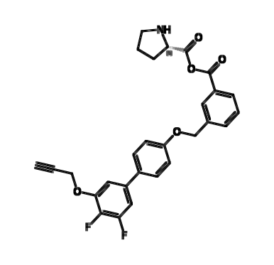 C#CCOc1cc(-c2ccc(OCc3cccc(C(=O)OC(=O)[C@@H]4CCCN4)c3)cc2)cc(F)c1F